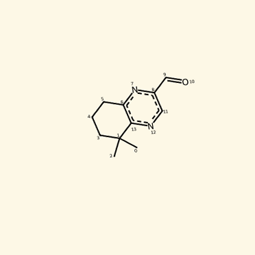 CC1(C)CCCc2nc(C=O)cnc21